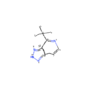 CC(C)(C)c1nccc2n[nH]nc12